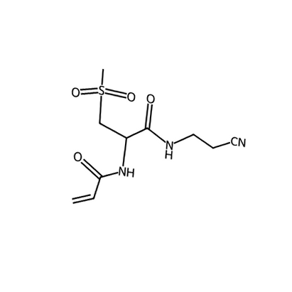 C=CC(=O)NC(CS(C)(=O)=O)C(=O)NCCC#N